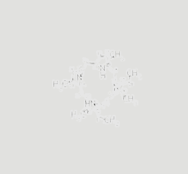 C=CC1=C2C=C3N=C(C=c4[nH]c(cc4C)=CC4=NC(=CC(N2)C1C)C(C)=C4)C(CC)=C3C